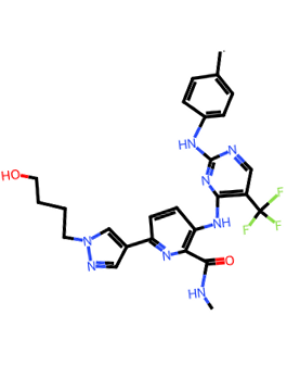 [CH2]c1ccc(Nc2ncc(C(F)(F)F)c(Nc3ccc(-c4cnn(CCCCO)c4)nc3C(=O)NC)n2)cc1